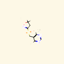 COc1ncnc(C(F)(F)F)c1CS(=O)(=O)C1=NOC(C)(C)C1